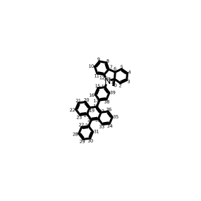 CC12C=CC=CC1c1ccccc1N2c1ccc(-c2c3ccccc3c(-c3ccccc3)c3ccccc23)cc1